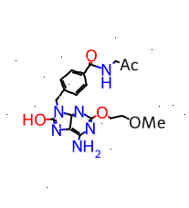 COCCOc1nc(N)c2nc(O)n(Cc3ccc(C(=O)NCC(C)=O)cc3)c2n1